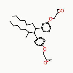 CCCCCCC(c1cccc(OCC2CO2)c1)C(c1ccc(OCC2CO2)cc1)C(C)CCCCC